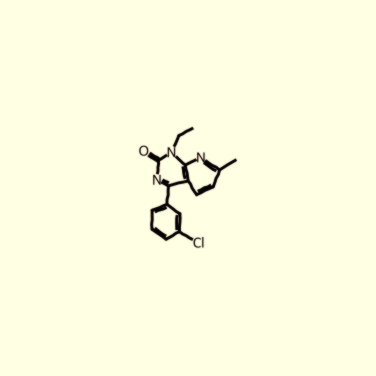 CCn1c(=O)nc(-c2cccc(Cl)c2)c2ccc(C)nc21